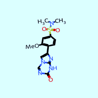 COc1cc(S(=O)(=O)N(C)C)ccc1-c1cn2cnc(=O)[nH]c2n1